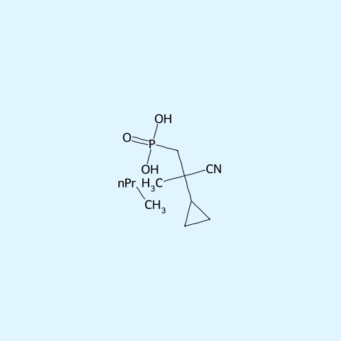 CC(C#N)(CP(=O)(O)O)C1CC1.CCCC